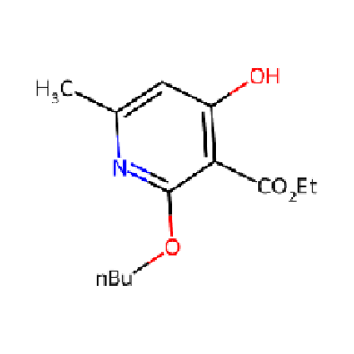 CCCCOc1nc(C)cc(O)c1C(=O)OCC